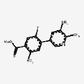 COC(=O)c1cc(F)c(-c2cnc(C)c(N)c2)cc1[N+](=O)[O-]